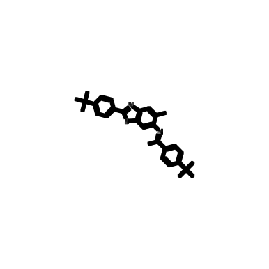 C/C(=N\c1cc2sc(-c3ccc(C(C)(C)C)cc3)nc2cc1C)c1ccc(C(C)(C)C)cc1